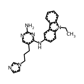 CCn1c2ccccc2c2cc(Nc3nc(N)ncc3CCCn3ccnc3)ccc21